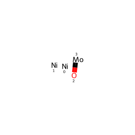 [Ni].[Ni].[O]=[Mo]